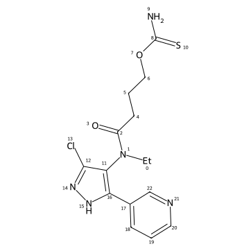 CCN(C(=O)CCCOC(N)=S)c1c(Cl)n[nH]c1-c1cccnc1